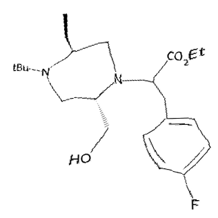 CCOC(=O)C(c1ccc(F)cc1)N1C[C@H](C)N(C(C)(C)C)C[C@H]1CO